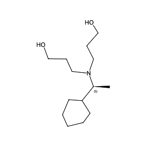 C[C@@H](C1CCCCC1)N(CCCO)CCCO